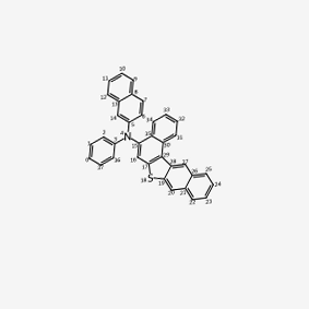 c1ccc(N(c2ccc3ccccc3c2)c2cc3sc4cc5ccccc5cc4c3c3ccccc23)cc1